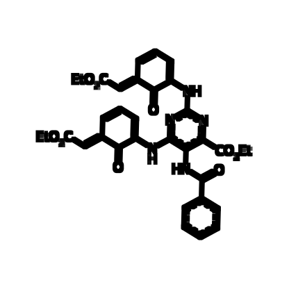 CCOC(=O)C=C1C=CC=C(Nc2nc(NC3=CC=CC(=CC(=O)OCC)C3=O)c(NC(=O)c3ccccc3)c(C(=O)OCC)n2)C1=O